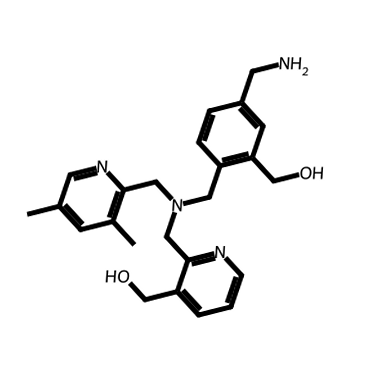 Cc1cnc(CN(Cc2ccc(CN)cc2CO)Cc2ncccc2CO)c(C)c1